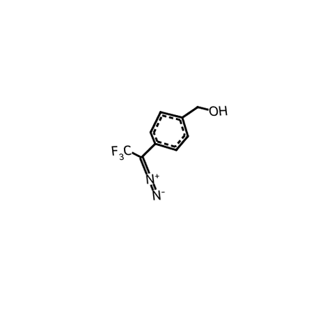 [N-]=[N+]=C(c1ccc(CO)cc1)C(F)(F)F